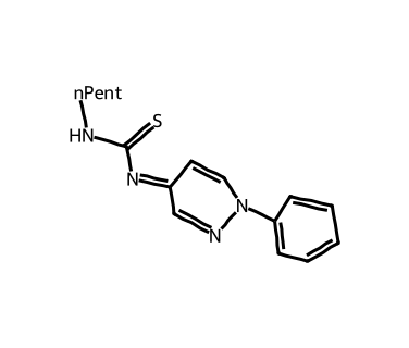 CCCCCNC(=S)N=c1ccn(-c2ccccc2)nc1